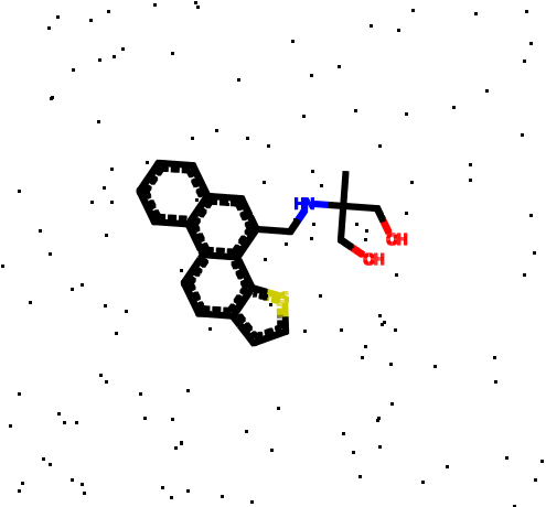 CC(CO)(CO)NCc1cc2ccccc2c2ccc3ccsc3c12